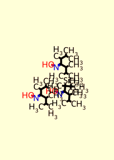 CC(C)C(C)C(=NO)C(C)([SiH3])C(C)(C)C.CC(C)C(C)C(=NO)C(C)C(C)C.CC(C)C(C)C(=NO)C(C)C(C)C